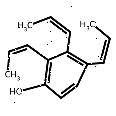 C/C=C\c1ccc(O)c(/C=C\C)c1/C=C\C